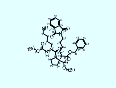 CC(C)(C)OC(=O)NN(CCCCN)C(=O)N1CCC[C@]1(C(=O)OC(C)(C)C)C(CCCCN1C(=O)c2ccccc2C1=O)C(=O)OCc1ccccc1